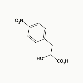 O=C(O)C(O)Cc1ccc([N+](=O)[O-])cc1